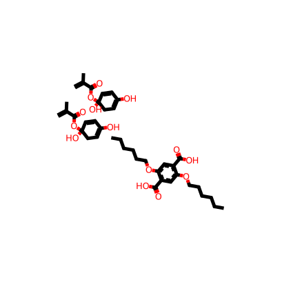 C=C(C)C(=O)OC1(O)C=CC(O)=CC1.C=C(C)C(=O)OC1(O)C=CC(O)=CC1.CCCCCCOc1cc(C(=O)O)c(OCCCCCC)cc1C(=O)O